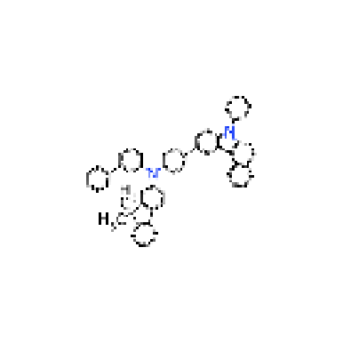 CC1(C)c2ccccc2-c2ccc(N(c3ccc(-c4ccc5c(c4)c4c6ccccc6ccc4n5-c4ccccc4)cc3)c3cccc(-c4ccccc4)c3)cc21